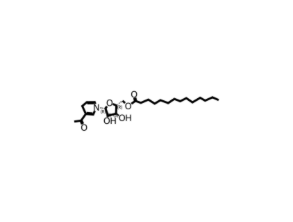 CCCCCCCCCCCCCC(=O)OC[C@H]1O[C@@H](N2C=CCC(C(C)=O)=C2)[C@H](O)[C@@H]1O